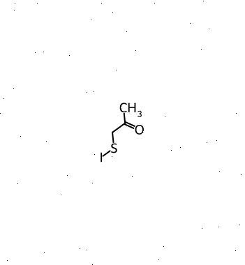 CC(=O)CSI